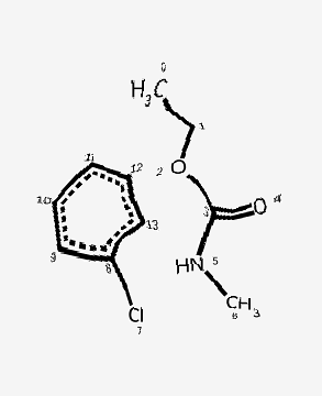 CCOC(=O)NC.Clc1ccccc1